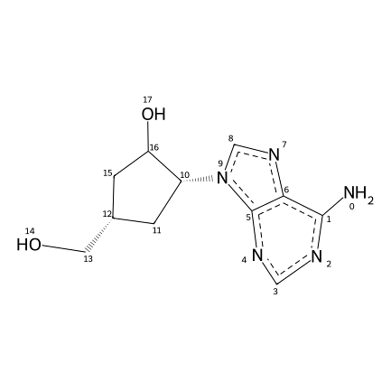 Nc1ncnc2c1ncn2[C@@H]1C[C@H](CO)CC1O